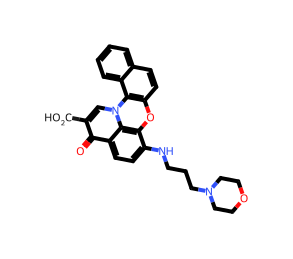 O=C(O)c1cn2c3c(c(NCCCN4CCOCC4)ccc3c1=O)Oc1ccc3ccccc3c1-2